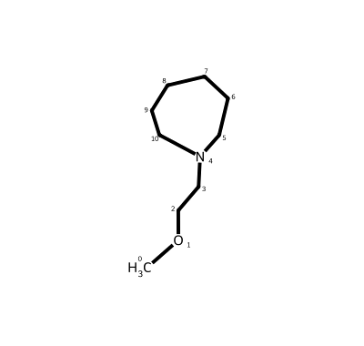 COCCN1CCCCCC1